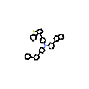 c1ccc(-c2cccc(-c3ccc(N(c4ccc(-c5cccc6sc7ccccc7c56)cc4)c4cccc(-c5ccc6ccccc6c5)c4)cc3)c2)cc1